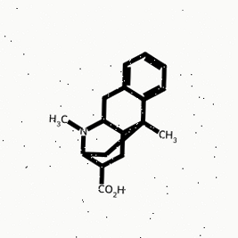 CN1C2CC3(C)c4ccccc4CC1C3CC2C(=O)O